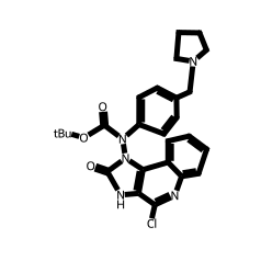 CC(C)(C)OC(=O)N(c1ccc(CN2CCCC2)cc1)n1c(=O)[nH]c2c(Cl)nc3ccccc3c21